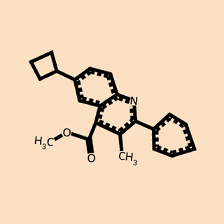 COC(=O)c1c(C)c(-c2ccccc2)nc2ccc(C3CCC3)cc12